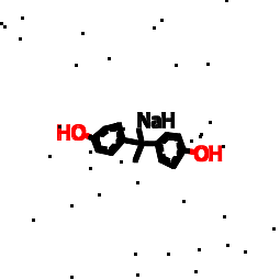 CC(C)(c1ccc(O)cc1)c1ccc(O)cc1.[NaH]